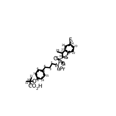 CCCN(CCCc1ccc(OC(C)(C)C(=O)O)cc1)S(=O)(=O)C1Sc2ccc(F)cc2C1C